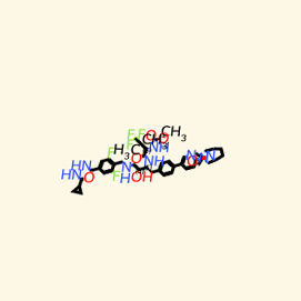 COC(=O)N[C@H](C(=O)N[C@@H](Cc1ccc(-c2ccc(N3CC4CCC(C3)N4C3COC3)nc2)cc1)[C@@H](O)CNCc1c(F)cc(C(=N)OC(=N)C2CC2)cc1F)C(C)(C)C(F)(F)F